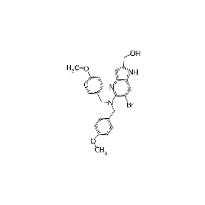 COc1ccc(CN(Cc2ccc(OC)cc2)c2nc3cc(CO)[nH]c3cc2Br)cc1